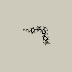 CN=S(C)(=O)c1ccc(-c2cnc(N)c(-c3cc(-c4ccc(CN)cc4)no3)n2)cc1